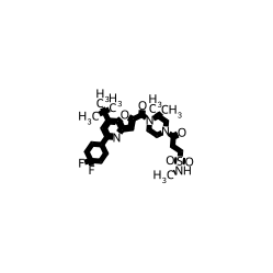 CNS(=O)(=O)CCC(=O)N1CCN(C(=O)c2cc3nc(C4CCC(F)(F)CC4)cc(C(C)(C)C)c3o2)C(C)(C)C1